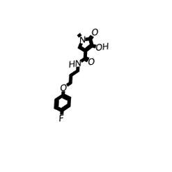 CN1CC(C(=O)NCCCOc2ccc(F)cc2)=C(O)C1=O